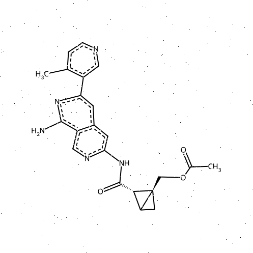 CC(=O)OC[C@@]12CC1[C@@H]2C(=O)Nc1cc2cc(-c3cnccc3C)nc(N)c2cn1